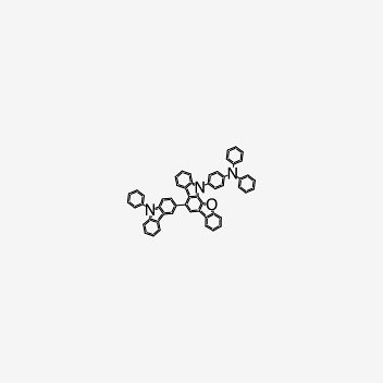 c1ccc(N(c2ccccc2)c2ccc(-n3c4ccccc4c4c(-c5ccc6c(c5)c5ccccc5n6-c5ccccc5)cc5c6ccccc6oc5c43)cc2)cc1